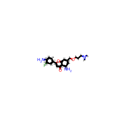 CN(C)CCCOCc1cc(N)c2c(=O)cc(-c3ccc(N)c(F)c3)oc2c1